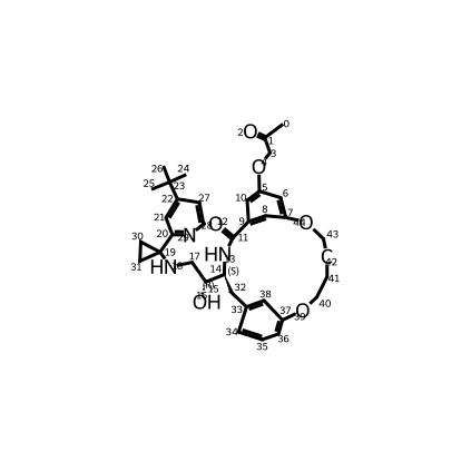 CC(=O)COc1cc2cc(c1)C(=O)N[C@H]([C@H](O)CNC1(c3cc(C(C)(C)C)ccn3)CC1)Cc1cccc(c1)OCCCCO2